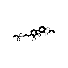 C=CC(=O)OCCCc1ccc2c(oc3c(F)c(OC(=O)C=C)ccc32)c1OC